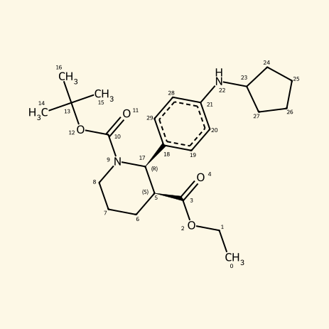 CCOC(=O)[C@H]1CCCN(C(=O)OC(C)(C)C)[C@H]1c1ccc(NC2CCCC2)cc1